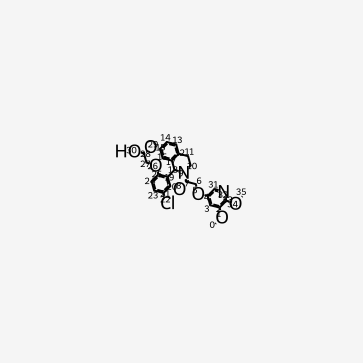 COc1cc(OCC(=O)N2CCc3ccccc3C2c2cc(Cl)ccc2OCC(=O)O)cnc1OC